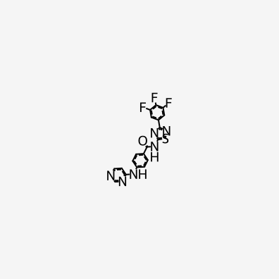 O=C(Nc1nc(-c2cc(F)c(F)c(F)c2)ns1)c1ccc(Nc2ccncn2)cc1